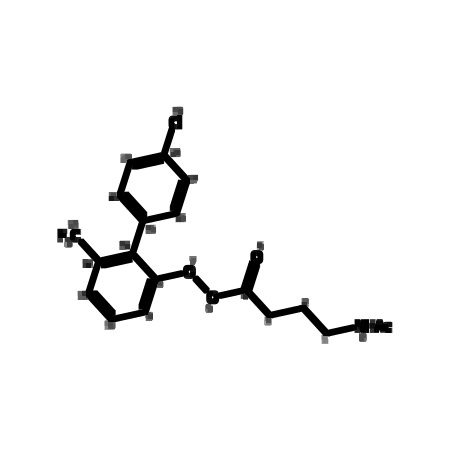 CC(=O)NCCCC(=O)OOc1cccc(C(F)(F)F)c1-c1ccc(Cl)cc1